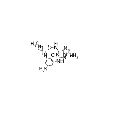 CN1CC2(C1)CN(c1cc(N)cc(Nc3nc(NC4CC4)c4ncc(N)n4n3)c1Cl)C2